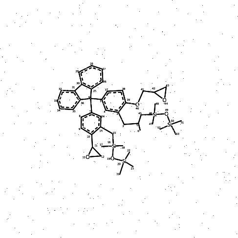 CC(Cc1cc(C2(c3ccc(C4CO4)c(C[Si](C)(C)O[Si](C)(C)C)c3)c3ccccc3-c3ccccc32)ccc1OCC1CO1)C[Si](C)(C)O[Si](C)(C)C